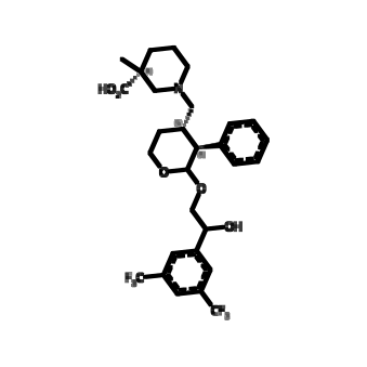 C[C@@]1(C(=O)O)CCCN(C[C@H]2CCOC(OCC(O)c3cc(C(F)(F)F)cc(C(F)(F)F)c3)[C@@H]2c2ccccc2)C1